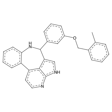 Cc1ccccc1COc1cccc(C2Nc3ccccc3-c3ccnc4[nH]cc2c34)c1